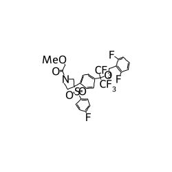 COCC(=O)N1CCC(c2ccc(C(OCc3c(F)cccc3F)(C(F)(F)F)C(F)(F)F)cc2)(S(=O)(=O)c2ccc(F)cc2)C1